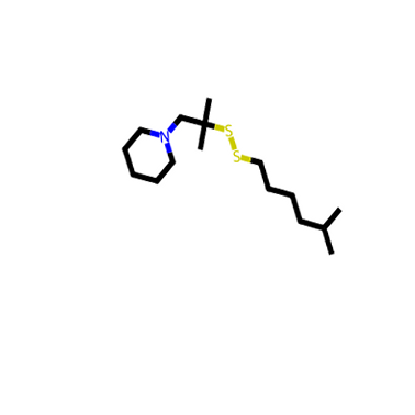 CC(C)CCCCSSC(C)(C)CN1CCCCC1